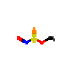 CO[SH](#P)N=O